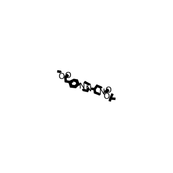 CCOC(=O)Cc1ccc(N2CCN(C3CCN(C(=O)OC(C)(C)C)CC3)CC2)cc1